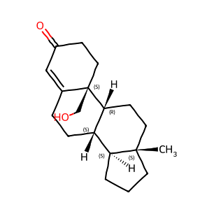 C[C@@]12CCC[C@H]1[C@@H]1CCC3=CC(=O)CC[C@]3(CO)[C@@H]1CC2